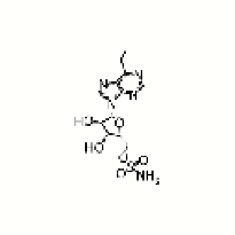 CCc1ncnc2c1ncn2[C@@H]1O[C@H](COS(N)(=O)=O)[C@@H](O)[C@H]1O